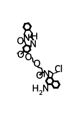 COc1cc2c(cc1OCCOCCC(=O)N1C[C@@H](CCl)c3c1cc(N)c1ccccc31)N=C[C@@H]1Cc3ccccc3CN1C2=O